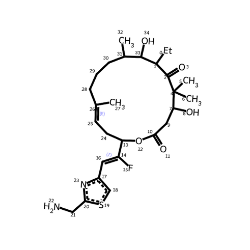 CCC1C(=O)C(C)(C)C(O)CC(=O)OC(/C(F)=C/c2csc(CN)n2)C/C=C(\C)CCCC(C)C1O